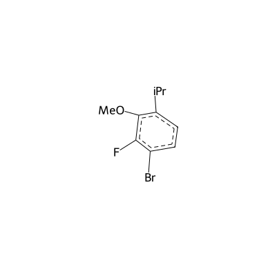 COc1c(C(C)C)ccc(Br)c1F